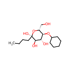 CCCC[C@@]1(O)O[C@H](CO)[C@@H](OC2CCCCC2)[C@H](O)[C@H]1O